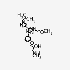 CNCC(O)COc1cccc(-c2nc(NCCOC)cc(-c3cnn(CC(C)C)c3)n2)c1